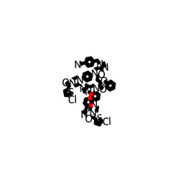 N#Cc1ccc(Cn2cncc2CN(C(=O)CC(Oc2ccccc2)C(=O)N(Cc2cncn2Cc2ccc(C#N)cc2)c2ccc(N3CCN(C(=O)c4ccc(Cl)s4)CC3)cc2)c2ccc(N3CCN(C(=O)c4ccc(Cl)s4)CC3)cc2)cc1